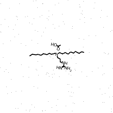 CC(=O)O.CCCCCCCCCCN(CCCCCCCCCC)CCCNC(=N)N